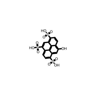 O=S(=O)(O)c1ccc2c(O)cc3c(S(=O)(=O)O)ccc4c(S(=O)(=O)O)cc1c2c43